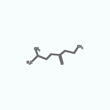 CCCC(=O)[CH]CC(C)C